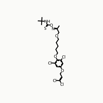 CC(COCCCCCOc1c(Cl)cc(OCC=C(Cl)Cl)cc1Cl)=NOC(=S)NC(C)(C)C